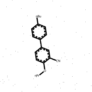 CCCCc1ccc(-c2ccc(OCCC)c(C#N)c2)cc1